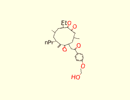 C=C1C(=O)C(CC(=O)c2ccc(OCCO)cc2)CC(C)CC(=O)C(=O)C(CC)CC(C)CC1CCC